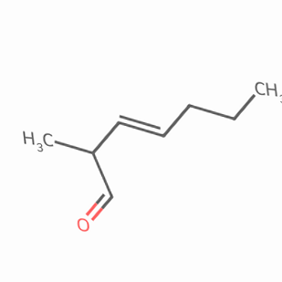 CCCC=CC(C)C=O